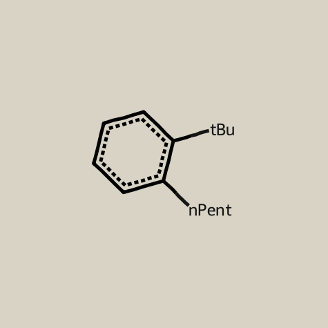 CCCCCc1ccccc1C(C)(C)C